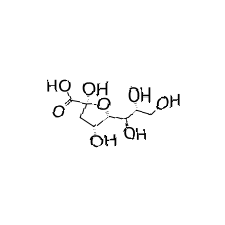 O=C(O)[C@]1(O)C[C@@H](O)[C@@H]([C@H](O)[C@H](O)CO)O1